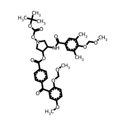 COCOc1ccc(OC)cc1C(=O)c1ccc(C(=O)OC2CN(OC(=O)OC(C)(C)C)CC2NC(=O)c2cc(C)c(OCOC)c(C)c2)cc1